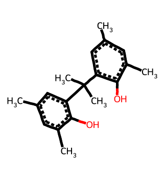 Cc1cc(C)c(O)c(C(C)(C)c2cc(C)cc(C)c2O)c1